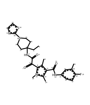 CCC1(NC(=O)C(=O)c2c(C)c(C(=O)Nc3ccc(F)c(C)c3)c(C)n2C)CCN(c2nccs2)CC1